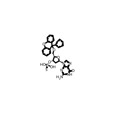 Nc1nc2c(ncn2[C@H]2C[C@H](OP(O)(O)=S)[C@@H](COC3(c4ccccc4)c4ccccc4Oc4ccccc43)O2)c(=O)[nH]1